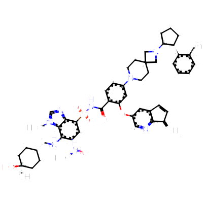 C=C1C=Cc2cc(Oc3cc(N4CCC5(CC4)CN(C4CCC[C@H]4c4ccccc4C(C)C)C5)ccc3C(=O)NS(=O)(=O)c3cc([NH+](C)[O-])c(NC[C@H]4CC[C@](C)(O)CC4)c4c3ncn4C)cnc21